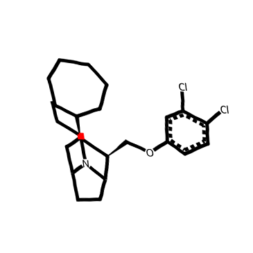 CCCN1C2CCC1[C@H](COc1ccc(Cl)c(Cl)c1)[C@H](C1CCCCCC1)C2